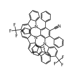 N#Cc1c(-c2ccccc2)c(-n2c3ccccc3c3cc(C(F)(F)F)ccc32)c(-n2c3ccccc3c3ccc4c5ccccc5sc4c32)c(-n2c3ccccc3c3cc(C(F)(F)F)ccc32)c1-c1ccccc1